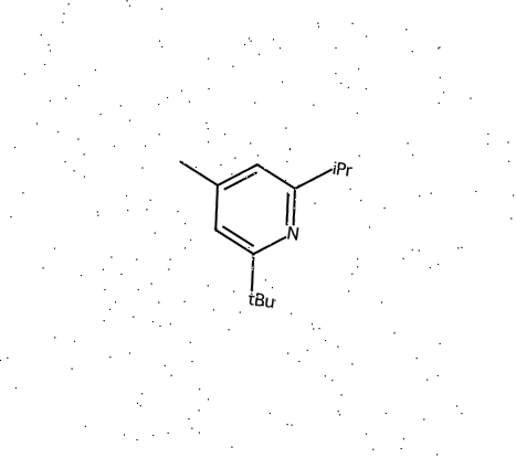 Cc1cc(C(C)C)nc(C(C)(C)C)c1